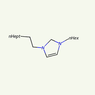 CCCCCCCCCN1C=CN(CCCCCC)C1